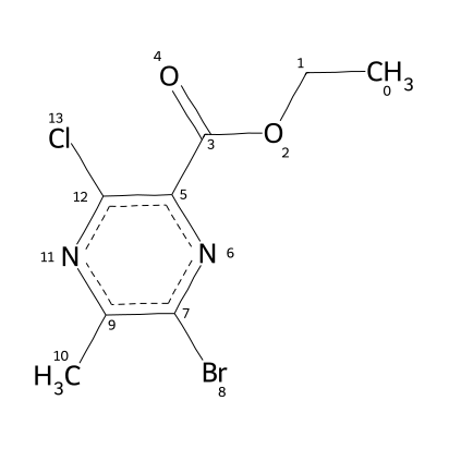 CCOC(=O)c1nc(Br)c(C)nc1Cl